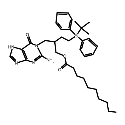 CCCCCCCCCC(=O)OCC(CC[Si](c1ccccc1)(c1ccccc1)C(C)(C)C)Cn1c(N)nc2nc[nH]c2c1=O